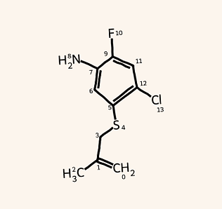 C=C(C)CSc1cc(N)c(F)cc1Cl